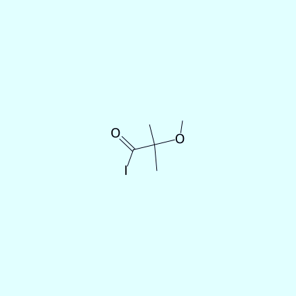 COC(C)(C)C(=O)I